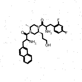 C[C@@H]1CN(C(=O)C(N)Cc2ccc(F)cc2F)[C@@H](CCCO)CN1C(=O)C(N)Cc1ccc2ccccc2c1